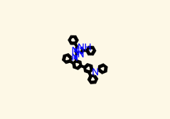 C1=CC(C2N=C(n3c4ccccc4c4ccc(-c5ccc6c(c5)c5ccccc5n6-c5ccccc5)cc43)N=C(c3ccccc3)N2)=CCC1